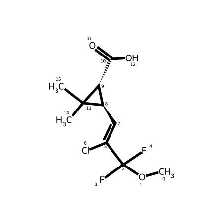 COC(F)(F)C(Cl)=C[C@@H]1[C@@H](C(=O)O)C1(C)C